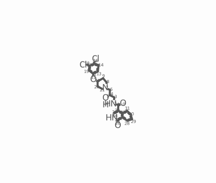 O=C(NC[C@H](O)CN1CCC(Oc2ccc(Cl)c(Cl)c2)CC1)c1c[nH]c(=O)c2ccccc12